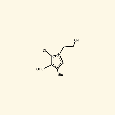 CC(C)(C)c1nn(CCC#N)c(Cl)c1C=O